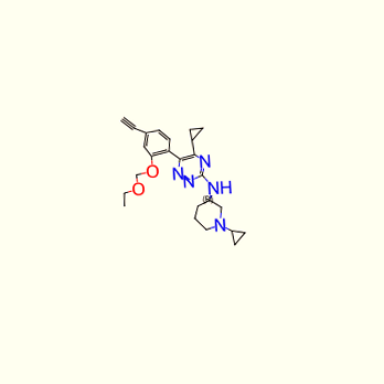 C#Cc1ccc(-c2nnc(N[C@@H]3CCCN(C4CC4)C3)nc2C2CC2)c(OCOCC)c1